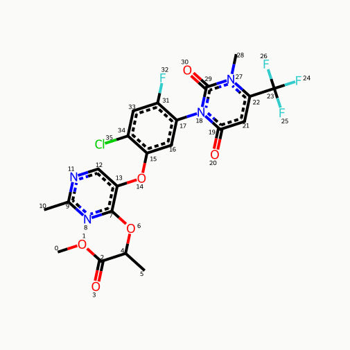 COC(=O)C(C)Oc1nc(C)ncc1Oc1cc(-n2c(=O)cc(C(F)(F)F)n(C)c2=O)c(F)cc1Cl